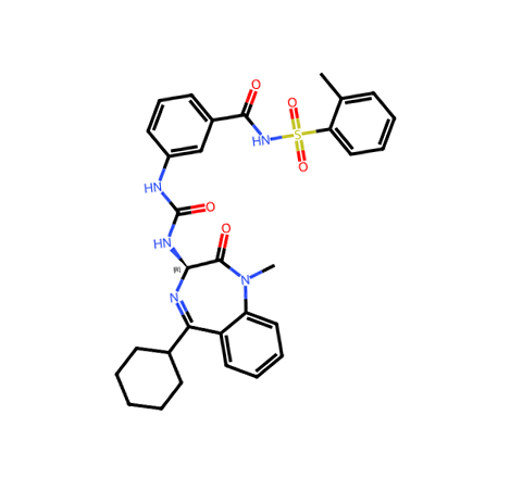 Cc1ccccc1S(=O)(=O)NC(=O)c1cccc(NC(=O)N[C@@H]2N=C(C3CCCCC3)c3ccccc3N(C)C2=O)c1